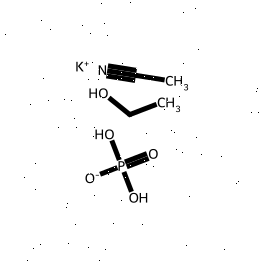 CC#N.CCO.O=P([O-])(O)O.[K+]